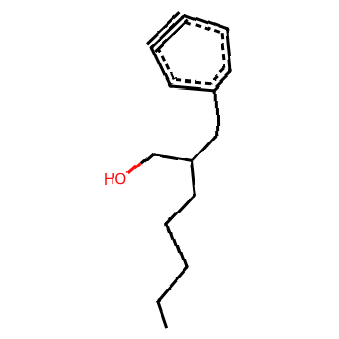 CCCCCC(CO)Cc1cc#ccc1